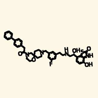 O=C(Cc1ccc(-c2ccccc2)cc1)N1CCOC2(CCN(Cc3cc(F)cc(CCNC[C@H](O)c4ccc(O)c5[nH]c(=O)sc45)c3)CC2)C1